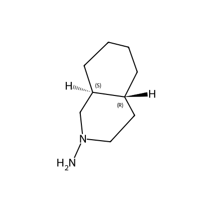 NN1CC[C@H]2CCCC[C@@H]2C1